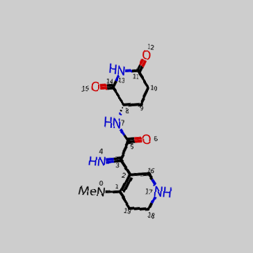 CNC1=C(C(=N)C(=O)N[C@H]2CCC(=O)NC2=O)CNCC1